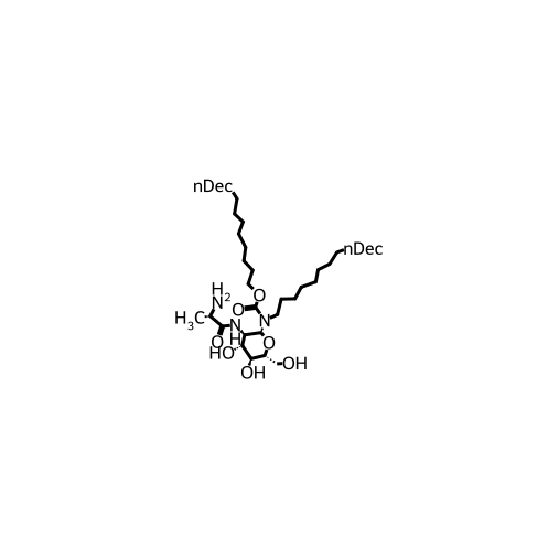 CCCCCCCCCCCCCCCCCCOC(=O)N(CCCCCCCCCCCCCCCCCC)[C@@H]1O[C@H](CO)[C@@H](O)[C@H](O)[C@H]1NC(=O)[C@H](C)N